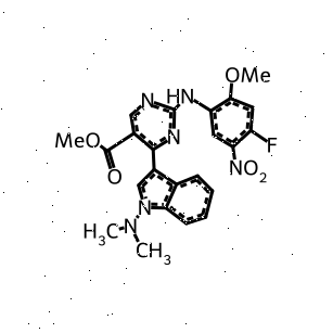 COC(=O)c1cnc(Nc2cc([N+](=O)[O-])c(F)cc2OC)nc1-c1cn(N(C)C)c2ccccc12